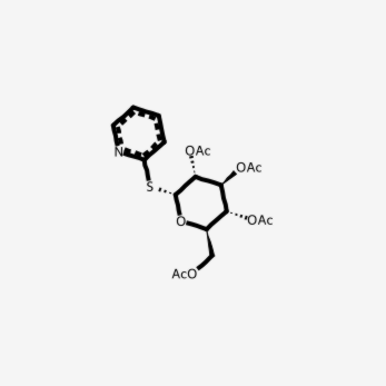 CC(=O)OC[C@H]1O[C@H](Sc2ccccn2)[C@H](OC(C)=O)[C@@H](OC(C)=O)[C@@H]1OC(C)=O